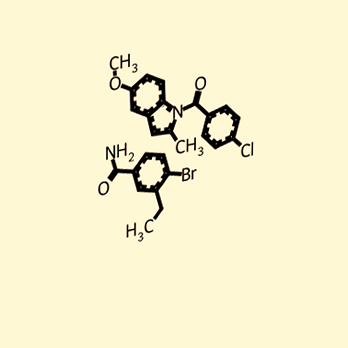 CCc1cc(C(N)=O)ccc1Br.COc1ccc2c(c1)cc(C)n2C(=O)c1ccc(Cl)cc1